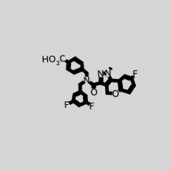 Cn1nc(C(=O)N(Cc2ccc(C(=O)O)cc2)Cc2cc(F)cc(F)c2)c2c1-c1cc(F)ccc1OC2